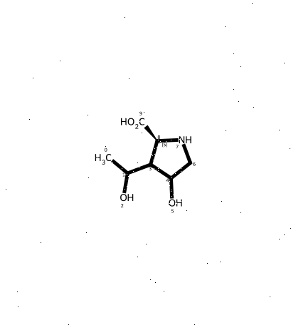 CC(O)C1C(O)CN[C@@H]1C(=O)O